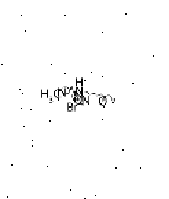 CN1CCC2(CC1)C[C@@H]2C(=O)N[C@@H](CCCCCC(=O)CC1CC1)c1ncc(Br)o1